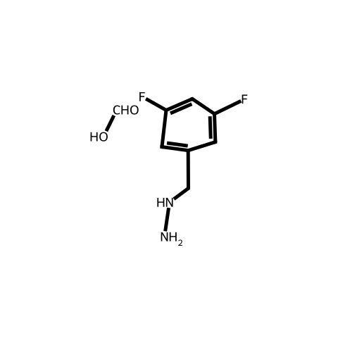 NNCc1cc(F)cc(F)c1.O=CO